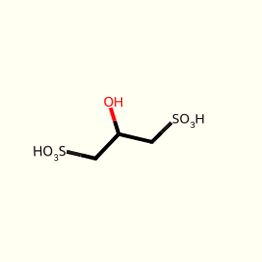 O=S(=O)(O)CC(O)CS(=O)(=O)O